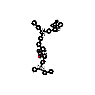 c1ccc(-c2ccc(-c3cc(-c4ccc(-c5cccc(-c6ccc7c(c6)C6(c8cc(-c9ccc(-c%10nc(-c%11ccccc%11)cc(-c%11cccc(-c%12ccccc%12)c%11)n%10)cc9)ccc8O7)c7ccccc7-c7ccccc76)c5)cc4)nc(-c4ccc(-c5ccc6c(c5)C5(c7ccccc7O6)c6ccccc6-c6ccccc65)cc4)n3)cc2)cc1